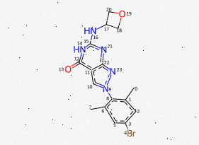 Cc1cc(Br)cc(C)c1-n1cc2c(=O)[nH]c(NC3COC3)nc2n1